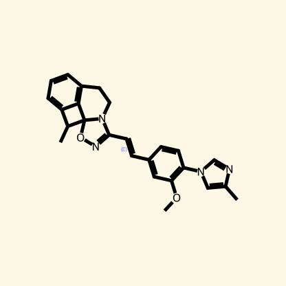 COc1cc(/C=C/C2=NOC34c5c(cccc5C3C)CCN24)ccc1-n1cnc(C)c1